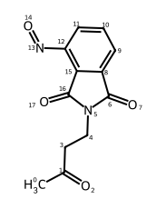 CC(=O)CCN1C(=O)c2cccc(N=O)c2C1=O